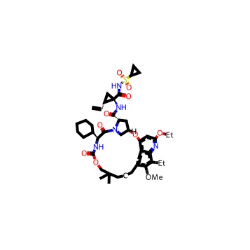 C=C[C@@H]1C[C@]1(NC(=O)[C@@H]1C[C@@H]2CN1C(=O)[C@H](C1CCCCC1)NC(=O)OCC(C)(C)CCCc1cc3c(cc(OCC)nc3c(CC)c1OC)O2)C(=O)NS(=O)(=O)C1CC1